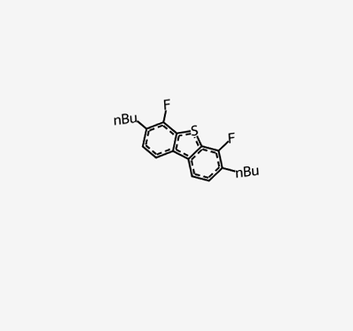 CCCCc1ccc2c(sc3c(F)c(CCCC)ccc32)c1F